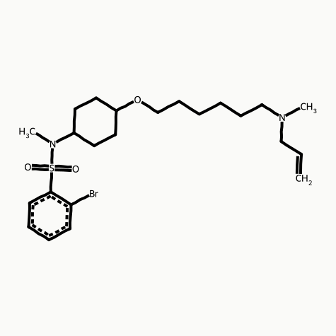 C=CCN(C)CCCCCCOC1CCC(N(C)S(=O)(=O)c2ccccc2Br)CC1